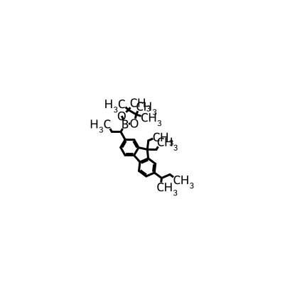 CCC(C)c1ccc2c(c1)C(CC)(CC)c1cc(C(CC)B3OC(C)(C)C(C)(C)O3)ccc1-2